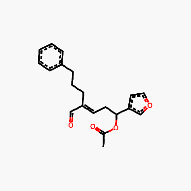 CC(=O)OC(C/C=C(/C=O)CCCc1ccccc1)c1ccoc1